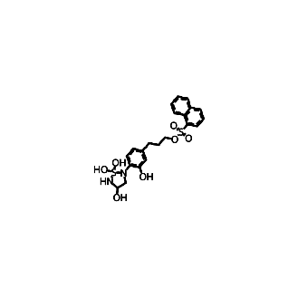 O=S(=O)(OCCCc1ccc(N2CC(O)NS2(O)O)c(O)c1)c1cccc2ccccc12